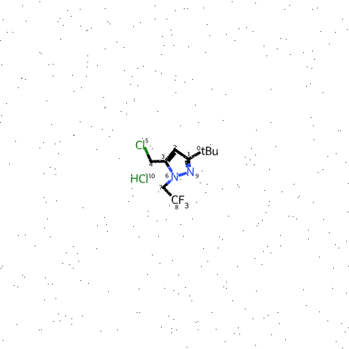 CC(C)(C)c1cc(CCl)n(CC(F)(F)F)n1.Cl